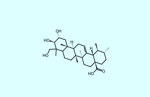 C[C@H]1[C@H](C)CC[C@]2(C(=O)O)CC[C@]3(C)C(=CC[C@@H]4[C@@]5(C)C[C@@H](O)[C@H](O)C(C)(CO)C5CC[C@]43C)[C@H]12